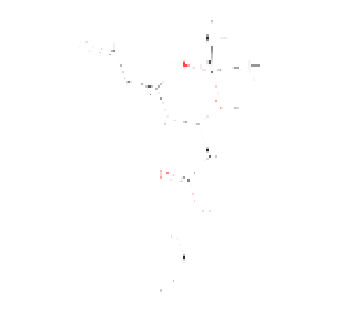 CCCOC(=O)CC1CC(CC=O)OC(C)(C)O1